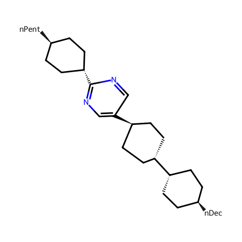 CCCCCCCCCC[C@H]1CC[C@H]([C@H]2CC[C@H](c3cnc([C@H]4CC[C@H](CCCCC)CC4)nc3)CC2)CC1